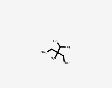 CCCCCCCCCCCC(N)(CCCCCCCCCCC)C(O)O